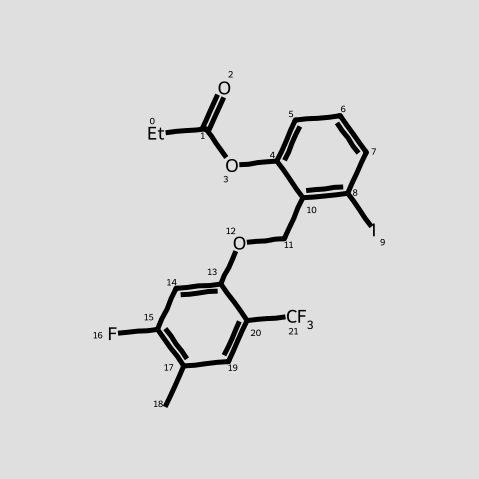 CCC(=O)Oc1cccc(I)c1COc1cc(F)c(C)cc1C(F)(F)F